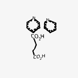 O=C(O)CCC(=O)O.c1ccncc1.c1ccncc1